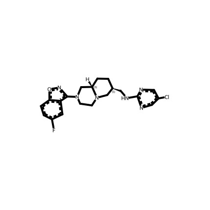 Fc1ccc2onc(N3CCN4C[C@H](CNc5ncc(Cl)cn5)CC[C@H]4C3)c2c1